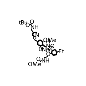 CCc1ccc(OCCNC(=O)OC)c(S(=O)(=O)Nc2noc3cc(Cn4cc(CNC(=O)OC(C)(C)C)cn4)cc(OC)c23)c1